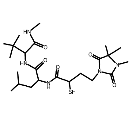 CNC(=O)C(NC(=O)C(CC(C)C)NC(=O)C(S)CCN1C(=O)N(C)C(C)(C)C1=O)C(C)(C)C